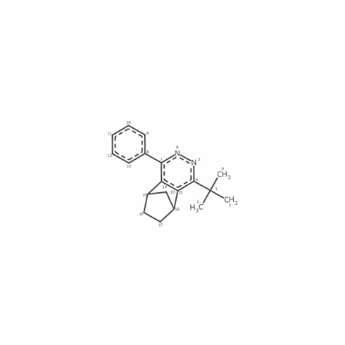 CC(C)(C)c1nnc(-c2ccccc2)c2c1C1CCC2C1